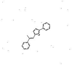 C/C(=C\c1ccc(-c2ccccc2)s1)c1ccccc1